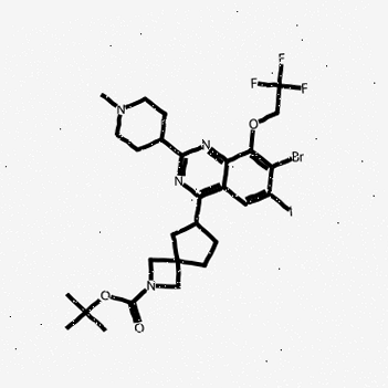 CN1CCC(c2nc(C3CCC4(C3)CN(C(=O)OC(C)(C)C)C4)c3cc(I)c(Br)c(OCC(F)(F)F)c3n2)CC1